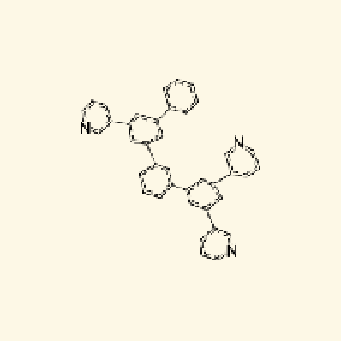 c1ccc(-c2cc(-c3cccnc3)cc(-c3cccc(-c4cc(-c5cccnc5)cc(-c5cccnc5)c4)c3)c2)cc1